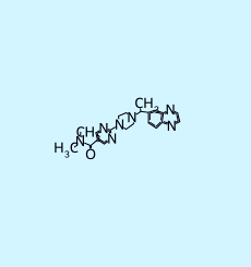 CC(c1ccc2nccnc2c1)N1CCN(c2ncc(C(=O)N(C)C)cn2)CC1